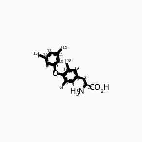 N[C@@H](Cc1cc(I)c(Oc2cc(I)cc(I)c2)c(I)c1)C(=O)O